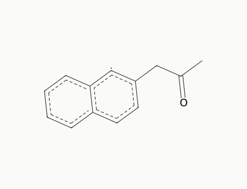 CC(=O)Cc1[c]c2ccccc2cc1